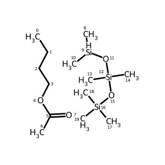 CCCCOC(C)=O.C[SiH](C)O[Si](C)(C)O[Si](C)(C)C